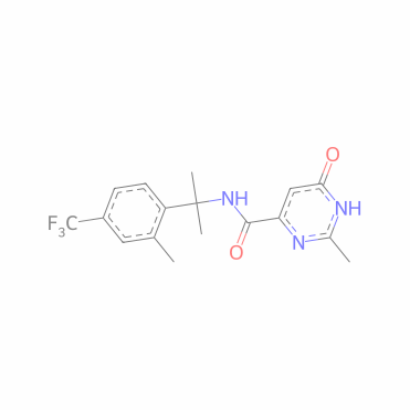 Cc1nc(C(=O)NC(C)(C)c2ccc(C(F)(F)F)cc2C)cc(=O)[nH]1